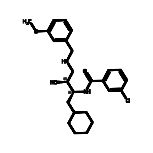 COc1cccc(CNC[C@H](O)[C@H](CC2CCCCC2)NC(=O)c2cccc(Cl)c2)c1